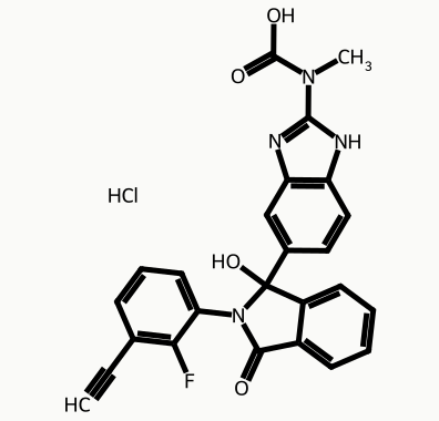 C#Cc1cccc(N2C(=O)c3ccccc3C2(O)c2ccc3[nH]c(N(C)C(=O)O)nc3c2)c1F.Cl